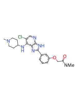 CNC(=O)COc1cccc(-c2nc3c(NC4CCN(C)CC4)c(Cl)cnc3[nH]2)c1